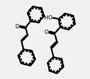 O=C(C=Cc1ccccc1)c1ccccc1.O=C(C=Cc1ccccc1)c1ccccc1O